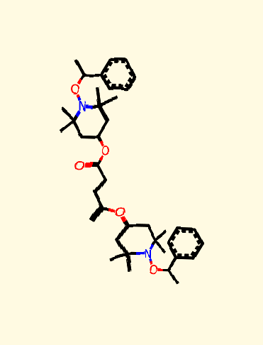 C=C(CCC(=O)OC1CC(C)(C)N(OC(C)c2ccccc2)C(C)(C)C1)OC1CC(C)(C)N(OC(C)c2ccccc2)C(C)(C)C1